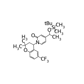 CC(O[Si](C)(C)C(C)(C)C)c1ccn(C2CC(C)(C)Oc3ccc(C(F)(F)F)cc32)c(=O)c1